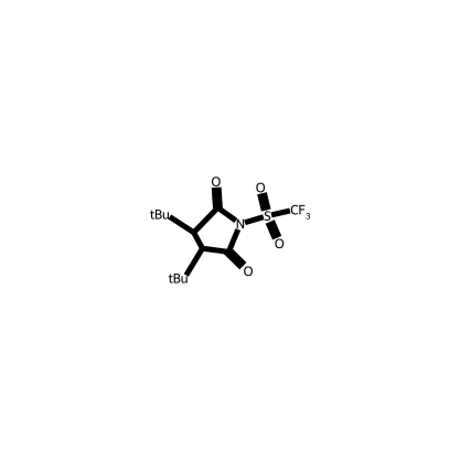 CC(C)(C)C1C(=O)N(S(=O)(=O)C(F)(F)F)C(=O)C1C(C)(C)C